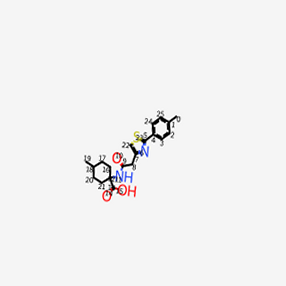 Cc1ccc(-c2nc(CC(=O)NC3(C(=O)O)CCC(C)CC3)cs2)cc1